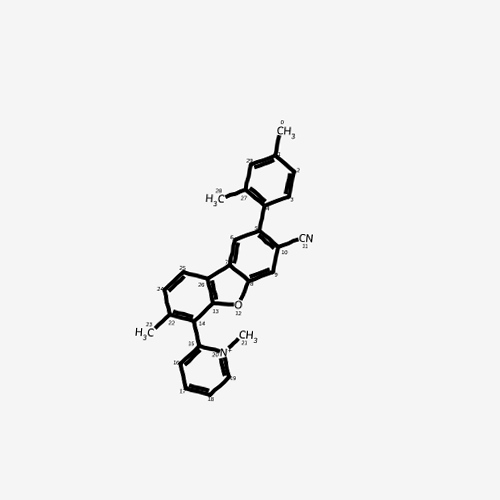 Cc1ccc(-c2cc3c(cc2C#N)oc2c(-c4cccc[n+]4C)c(C)ccc23)c(C)c1